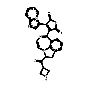 O=C1NC(=O)C(c2cnc3ccccn23)=C1C1=NC=CN2c3c(cccc31)CC2C(=O)C1CNC1